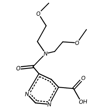 COCCN(CCOC)C(=O)c1cc(C(=O)O)ncn1